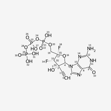 C#C[C@]1(O)C(n2cnc3c(=O)[nH]c(N)nc32)O[C@](F)(COP(=O)(O)OP(=O)(O)OP(=O)(O)O)[C@H]1F